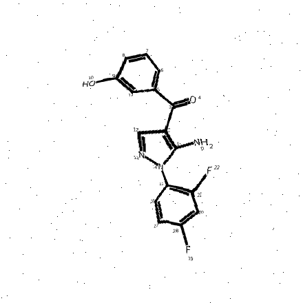 Nc1c(C(=O)c2cccc(O)c2)cnn1-c1ccc(F)cc1F